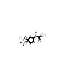 CC1(C)CCC(NC(=O)O)C1